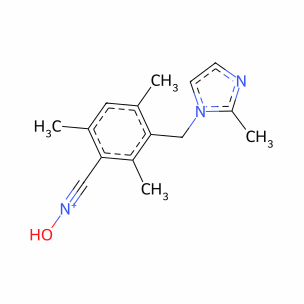 Cc1cc(C)c(Cn2ccnc2C)c(C)c1C#[N+]O